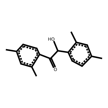 Cc1ccc(C(=O)C(O)c2ccc(C)cc2C)c(C)c1